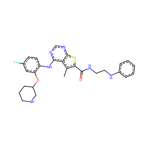 Cc1c(C(=O)NCCNc2ccccc2)sc2ncnc(Nc3ccc(F)cc3OC3CCCNC3)c12